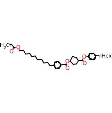 C=CC(=O)OCCCCCCCCCCCc1ccc(C(=O)OC2CCC(C(=O)Oc3ccc(CCCCCC)cc3)CC2)cc1